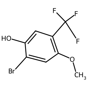 COc1cc(Br)c(O)cc1C(F)(F)F